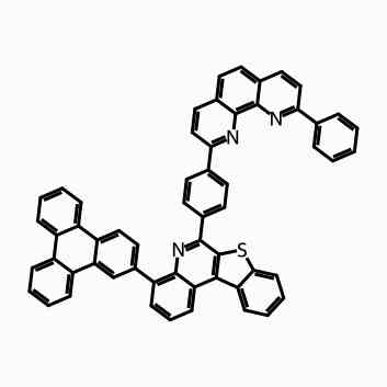 c1ccc(-c2ccc3ccc4ccc(-c5ccc(-c6nc7c(-c8ccc9c%10ccccc%10c%10ccccc%10c9c8)cccc7c7c6sc6ccccc67)cc5)nc4c3n2)cc1